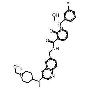 CCN1CCC(Nc2cnc3ccc(CNC(=O)c4cccn([C@H](CO)c5cccc(F)c5)c4=O)cc3c2)CC1